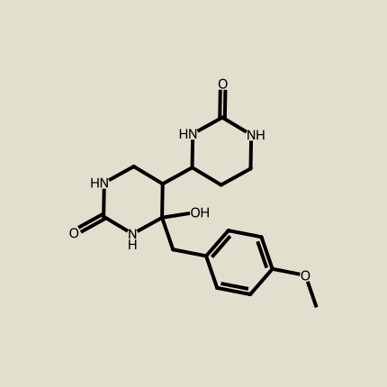 COc1ccc(CC2(O)NC(=O)NCC2C2CCNC(=O)N2)cc1